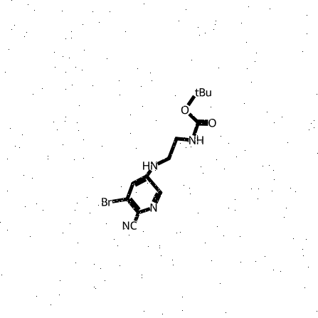 CC(C)(C)OC(=O)NCCNc1cnc(C#N)c(Br)c1